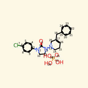 O=C1N(c2ccc(Cl)cc2)CCN1N1CCC=C(Cc2ccccc2)C1.O=P(O)(O)O